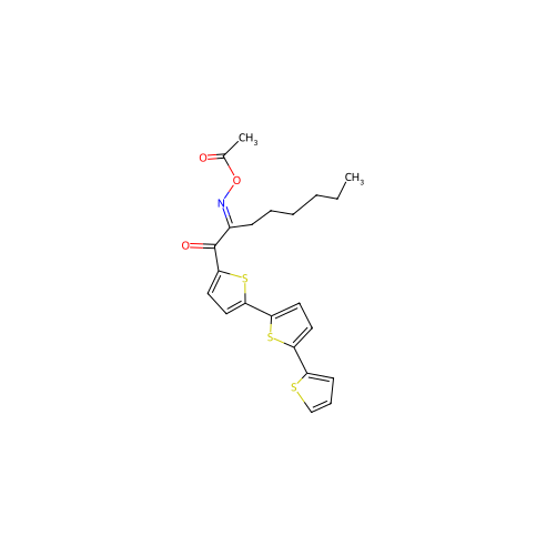 CCCCCC/C(=N\OC(C)=O)C(=O)c1ccc(-c2ccc(-c3cccs3)s2)s1